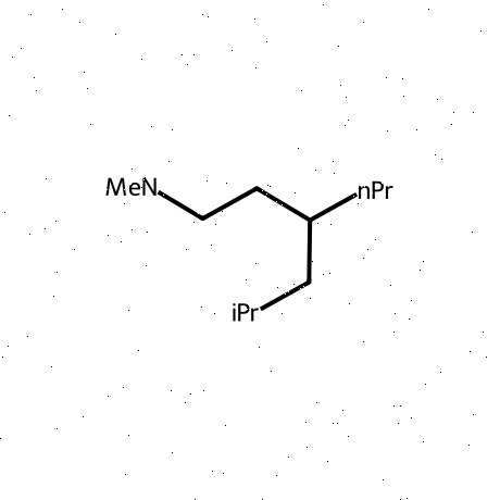 CCCC(CCNC)CC(C)C